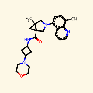 N#Cc1ccc(N2C[C@]3(C(=O)NC4CC(N5CCOCC5)C4)C[C@]3(C(F)(F)F)C2)c2cccnc12